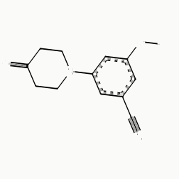 COc1cc(C#N)cc(N2CCC(=O)CC2)c1